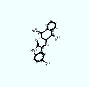 O=C1Nc2ccc(O)cc2C1=CC1CC(O)c2ccccc2C1O